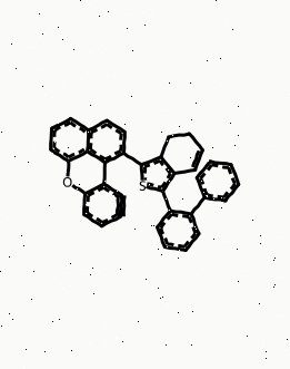 c1ccc2c(c#1)-c1c(-c3sc(-c4ccccc4-c4ccccc4)c4c3CCC=C4)ccc3cccc(c13)O2